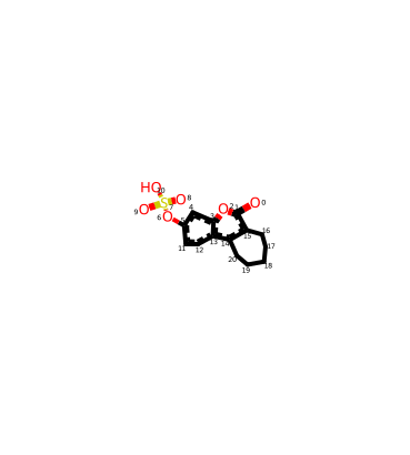 O=c1oc2cc(OS(=O)(=O)O)ccc2c2c1CCCCC2